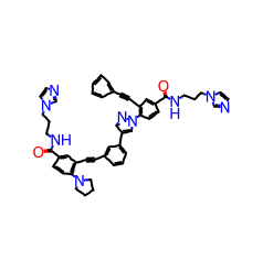 O=C(NCCCn1ccnc1)c1ccc(N2CCCC2)c(C#Cc2cccc(-c3cnn(-c4ccc(C(=O)NCCCn5ccnc5)cc4C#Cc4ccccc4)c3)c2)c1